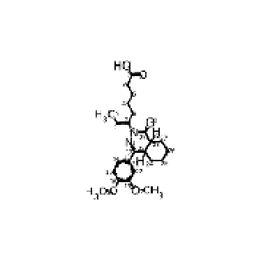 CCC(CCCCC(=O)O)N1N=C(c2ccc(OC)c(OC)c2)[C@H]2CCCC[C@H]2C1=O